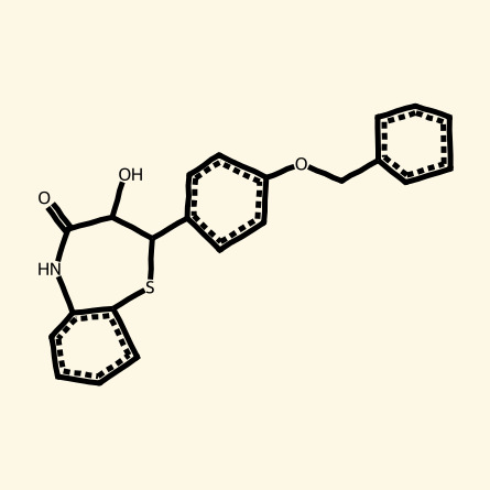 O=C1Nc2ccccc2SC(c2ccc(OCc3ccccc3)cc2)C1O